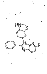 Fc1ccc2nc(-c3ccccc3)n(-c3ccc4c(c3)SCN4)c2n1